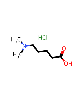 CN(C)CCCCC(=O)O.Cl